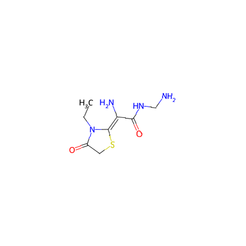 CCN1C(=O)CS/C1=C(/N)C(=O)NCN